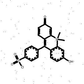 C[Si]1(C)C2=CC(=O)C=CC2=C(c2ccc(S(=O)(=O)Cl)cc2)c2ccc(O)cc21